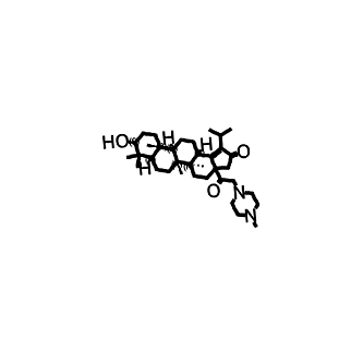 CC(C)C1=C2[C@H]3CC[C@@H]4[C@@]5(C)CC[C@H](O)C(C)(C)[C@@H]5CC[C@@]4(C)[C@]3(C)CCC2(C(=O)CN2CCN(C)CC2)CC1=O